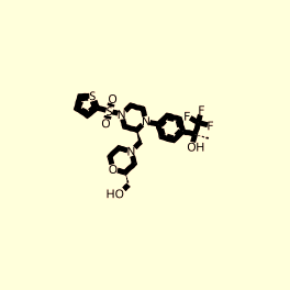 C[C@](O)(c1ccc(N2CCN(S(=O)(=O)c3cccs3)C[C@@H]2CN2CCO[C@@H](CO)C2)cc1)C(F)(F)F